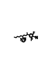 CCCCCC(CCC(C)c1cc(F)c(C#N)c(F)c1)c1ncccn1